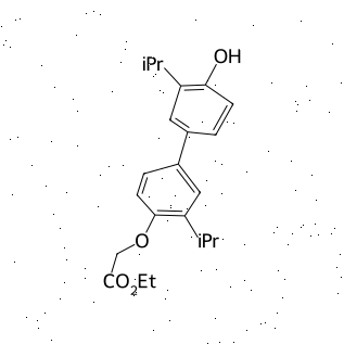 CCOC(=O)COc1ccc(-c2ccc(O)c(C(C)C)c2)cc1C(C)C